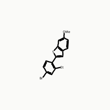 CCc1cc(Br)ccc1-c1cc2ccc(OC)cc2s1